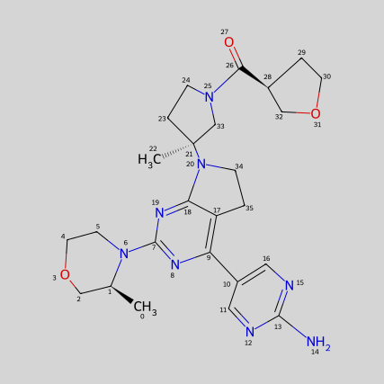 C[C@H]1COCCN1c1nc(-c2cnc(N)nc2)c2c(n1)N([C@@]1(C)CCN(C(=O)[C@H]3CCOC3)C1)CC2